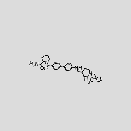 CC1(CN2CCC(CNc3ccc(-c4ccc(C(=O)N5CCCC[C@@H]5C(N)=O)cc4)cc3)CC2)CCC1